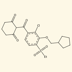 CCS(=O)(=O)c1ccc(C(=O)C2C(=O)CCCC2=O)c(Cl)c1OCC1CCCC1